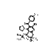 CC(C)c1nc2c(c(C3CCCC3)c1C(=O)c1ccc(C(F)(F)F)cc1)[C@@H](O[Si](C)(C)C(C)(C)C)CC(C)(C)C2